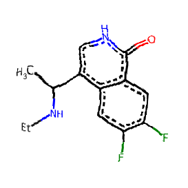 CCNC(C)c1c[nH]c(=O)c2cc(F)c(F)cc12